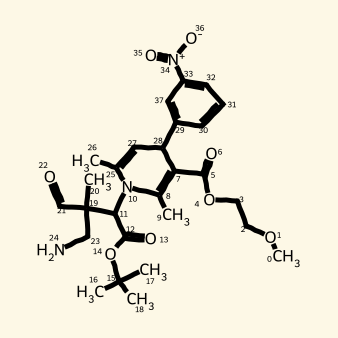 COCCOC(=O)C1=C(C)N(C(C(=O)OC(C)(C)C)C(C)(C=O)CN)C(C)=CC1c1cccc([N+](=O)[O-])c1